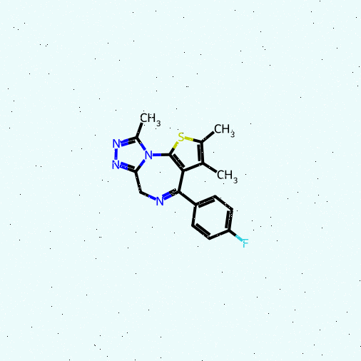 Cc1sc2c(c1C)C(c1ccc(F)cc1)=NCc1nnc(C)n1-2